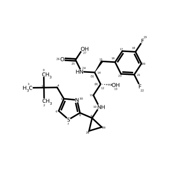 CC(C)(C)Cc1csc(C2(NC[C@@H](O)[C@H](Cc3cc(F)cc(F)c3)NC(=O)O)CC2)n1